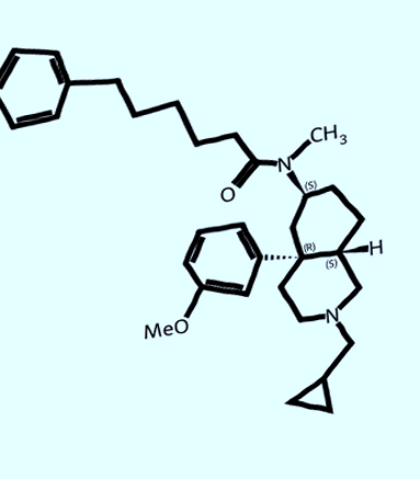 COc1cccc([C@@]23CCN(CC4CC4)C[C@H]2CC[C@H](N(C)C(=O)CCCCCc2ccccc2)C3)c1